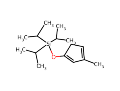 CC1=CCC(O[Si](C(C)C)(C(C)C)C(C)C)=C1